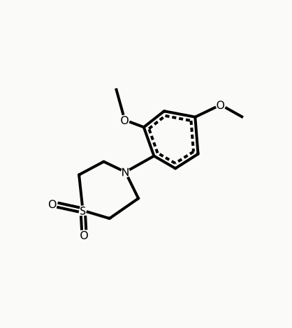 COc1ccc(N2CCS(=O)(=O)CC2)c(OC)c1